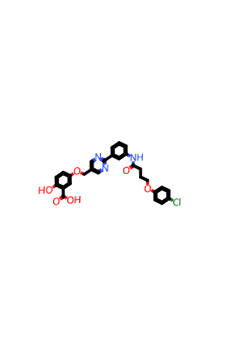 O=C(CCCOc1ccc(Cl)cc1)Nc1cccc(-c2ncc(COc3ccc(O)c(C(=O)O)c3)cn2)c1